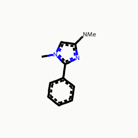 CNc1cn(C)c(-c2ccccc2)n1